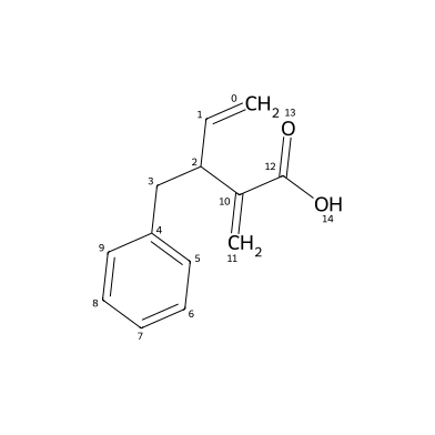 C=CC(Cc1ccccc1)C(=C)C(=O)O